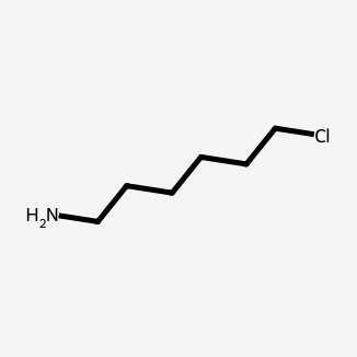 NCCCCCCCl